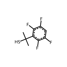 CC(C)(S)c1c(F)c(F)cc(F)c1F